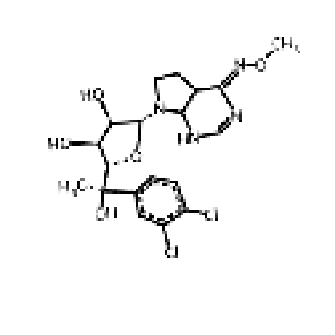 CO/N=C1\N=CNC2C1CCN2[C@@H]1O[C@H]([C@](C)(O)c2ccc(Cl)c(Cl)c2)[C@@H](O)[C@H]1O